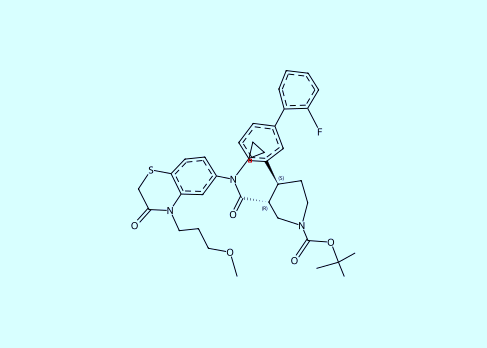 COCCCN1C(=O)CSc2ccc(N(C(=O)[C@H]3CN(C(=O)OC(C)(C)C)CC[C@@H]3c3cccc(-c4ccccc4F)c3)C3CC3)cc21